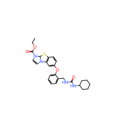 CCOC(=O)N1C=CN2c3cc(Oc4ccccc4CNC(=O)NC4CCCCC4)ccc3SC12